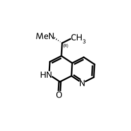 CN[C@H](C)c1c[nH]c(=O)c2ncccc12